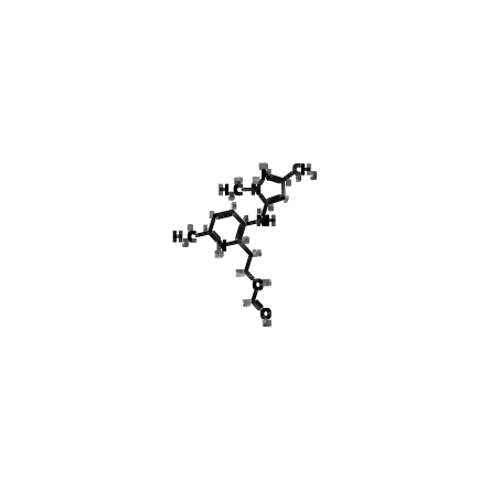 Cc1ccc(Nc2cc(C)nn2C)c(CCOC=O)n1